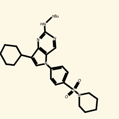 CCCCNc1ncc2c(n1)c(C1CCCCC1)cn2-c1ccc(S(=O)(=O)N2CCCCC2)cc1